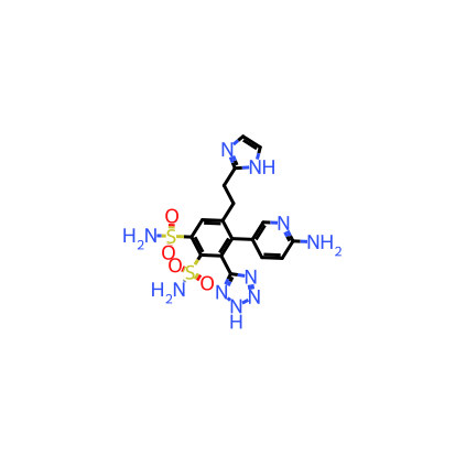 Nc1ccc(-c2c(CCc3ncc[nH]3)cc(S(N)(=O)=O)c(S(N)(=O)=O)c2-c2nn[nH]n2)cn1